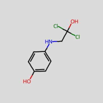 Oc1ccc(NCC(O)(Cl)Cl)cc1